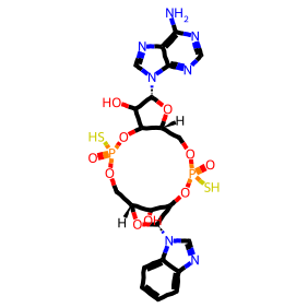 Nc1ncnc2c1ncn2[C@@H]1O[C@@H]2COP(=O)(S)OC3C(O)[C@@H](COP(=O)(S)OC2C1O)O[C@H]3n1cnc2ccccc21